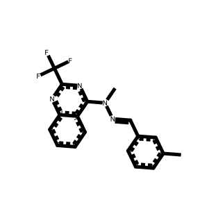 Cc1cccc(/C=N/N(C)c2nc(C(F)(F)F)nc3ccccc23)c1